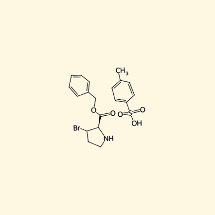 Cc1ccc(S(=O)(=O)O)cc1.O=C(OCc1ccccc1)[C@H]1NCCC1Br